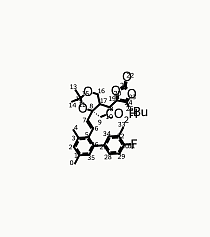 Cc1cc(C)c(C=C[C@@]2(CC(=O)O)OC(C)(C)OCC2Cc2oc(=O)oc2C(C)(C)C)c(-c2ccc(F)c(C)c2)c1